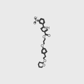 O=C(OCCCOc1ccc(CCOC2CCCCO2)cc1)C1=CNC(c2cccc([N+](=O)[O-])c2)=CC1